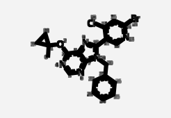 CC1(Oc2ncnc3c2nc(-c2cnc(Br)cc2Cl)n3Cc2ccccc2)CC1